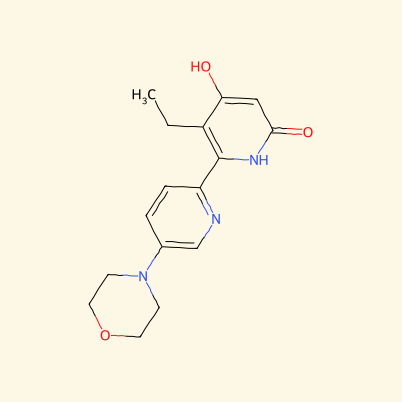 CCc1c(O)cc(=O)[nH]c1-c1ccc(N2CCOCC2)cn1